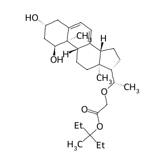 CCC(C)(CC)OC(=O)CO[C@@H](C)[C@H]1CC[C@H]2C3=CC=C4C[C@@H](O)C[C@H](O)[C@]4(C)[C@H]3CC[C@]12C